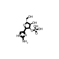 Nc1nc(C2O[C@H](CO)[C@@H](O)[C@H]2OP(=O)(O)O)c[nH]1